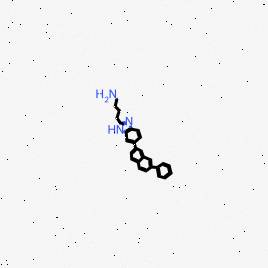 NCCCCc1nc2ccc(-c3ccc4ccc(C5=CC=C=C=C5)cc4c3)cc2[nH]1